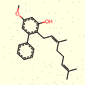 COc1cc(O)c(CC=C(C)CCC=C(C)C)c(-c2ccccc2)c1